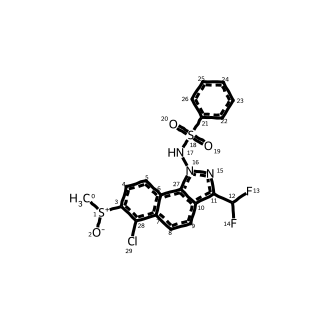 C[S+]([O-])c1ccc2c(ccc3c(C(F)F)nn(NS(=O)(=O)c4ccccc4)c32)c1Cl